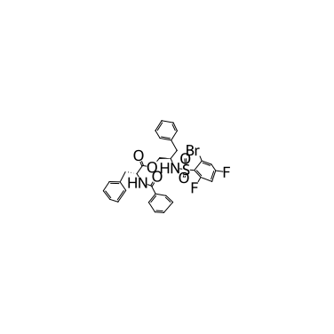 O=C(N[C@H](Cc1ccccc1)C(=O)OC[C@@H](Cc1ccccc1)NS(=O)(=O)c1c(F)cc(F)cc1Br)c1ccccc1